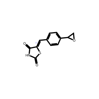 O=C1NC(=O)/C(=C/c2ccc(C3CO3)cc2)S1